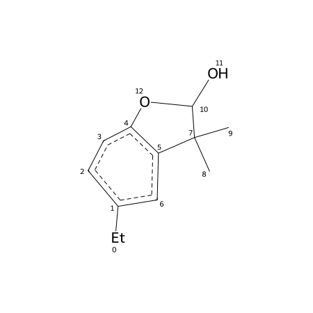 CCc1ccc2c(c1)C(C)(C)C(O)O2